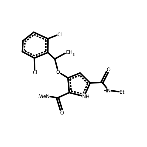 CCNC(=O)c1cc(OC(C)c2c(Cl)cccc2Cl)c(C(=O)NC)[nH]1